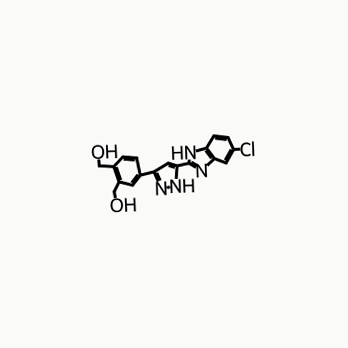 OCc1ccc(-c2cc(-c3nc4cc(Cl)ccc4[nH]3)[nH]n2)cc1CO